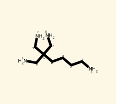 NCCCCC(CN)(CN)CN